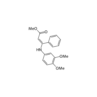 COC(=O)C=C(Nc1ccc(OC)c(OC)c1)c1ccccc1